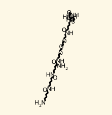 NCCCCCC(=O)NCCCCCC(=O)NCCCC[C@H](N)C(=O)NCCCOCCOCCOCCCNC(=O)CCCC[C@@H]1SC[C@@H]2NC(=O)N[C@@H]21